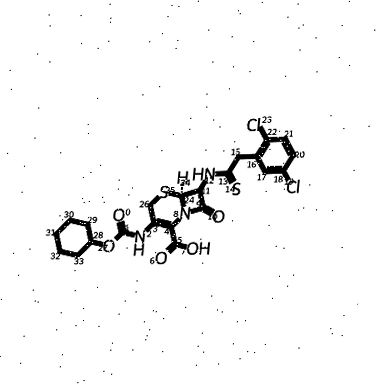 O=C(NC1=C(C(=O)O)N2C(=O)C(NC(=S)Cc3cc(Cl)ccc3Cl)[C@@H]2SC1)OC1CCCCC1